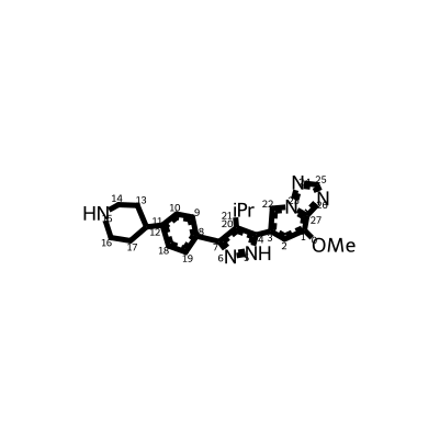 COc1cc(-c2[nH]nc(-c3ccc(C4CCNCC4)cc3)c2C(C)C)cn2ncnc12